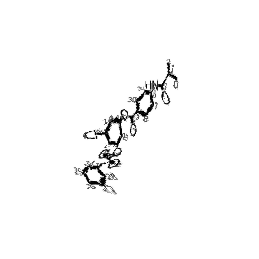 CC(C)C(=O)Nc1ccc(C(=O)Oc2cc(Cl)cc(OS(=O)(=O)c3ccccc3)c2)cc1